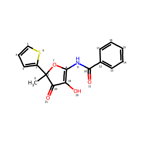 CC1(c2cccs2)OC(NC(=O)c2ccccc2)=C(O)C1=O